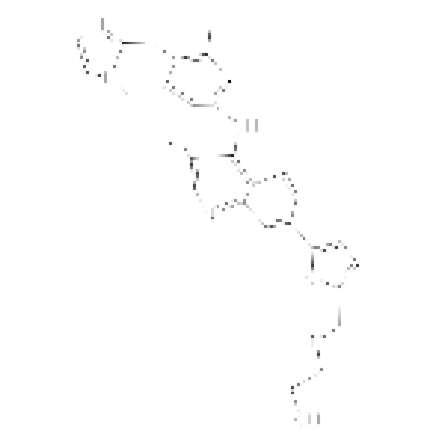 Cn1ccnc1Sc1ccc(Nc2c(C#N)cnc3cc(-c4ccc(CNCCO)o4)ccc23)cc1Cl